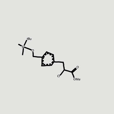 COC(=O)C(Cl)Cc1ccc(CO[Si](C)(C)C(C)(C)C)cc1